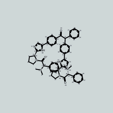 CN(C)[C@@H](C(=O)N1CCC[C@H]1c1ncc(-c2ccc(C(=O)C(c3ccccc3)c3ccc(-c4cnc([C@@H]5CCCN5C(=O)[C@@H](c5ccccc5)N(C)C)[nH]4)cc3)cc2)[nH]1)c1ccccc1